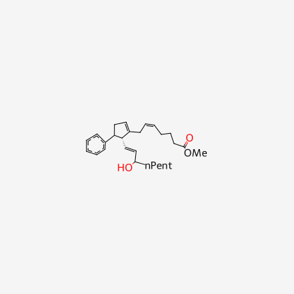 CCCCCC(O)/C=C/[C@H]1C(C/C=C\CCCC(=O)OC)=CCC1c1ccccc1